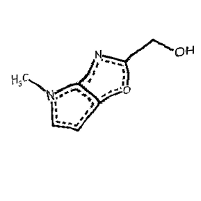 Cn1ccc2oc(CO)nc21